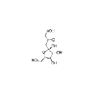 CCCCCCCCCC(=O)C[C@@]1(O)O[C@H](CO)[C@H](O)[C@H]1O